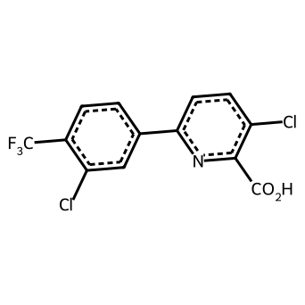 O=C(O)c1nc(-c2ccc(C(F)(F)F)c(Cl)c2)ccc1Cl